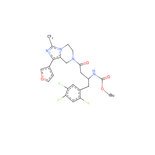 CC(C)(C)OC(=O)NC(CC(=O)N1CCn2c(C(F)(F)F)nc(-c3ccoc3)c2C1)Cc1cc(F)c(F)cc1F